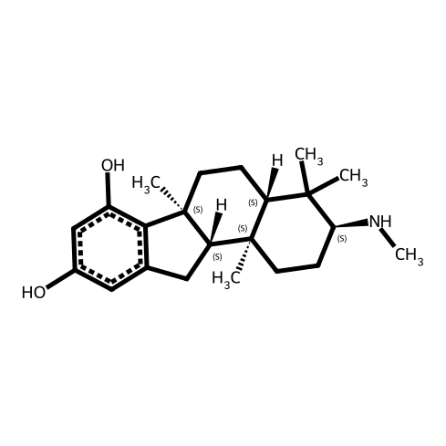 CN[C@H]1CC[C@]2(C)[C@H](CC[C@]3(C)c4c(O)cc(O)cc4C[C@@H]23)C1(C)C